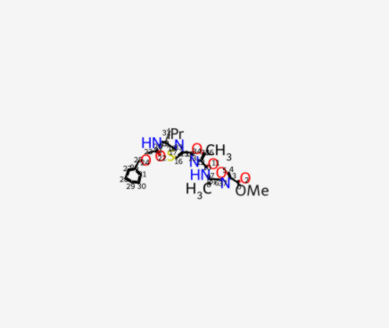 COC(=O)c1coc([C@H](C)NC(=O)c2nc(-c3csc([C@@H](NC(=O)COCc4ccccc4)C(C)C)n3)oc2C)n1